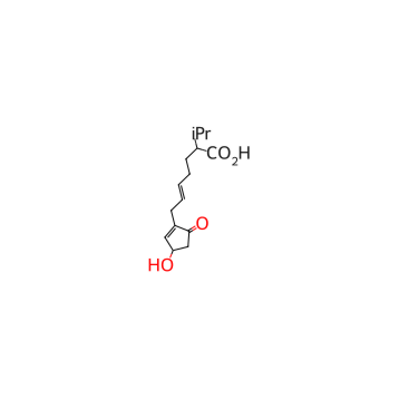 CC(C)C(CCC=CCC1=CC(O)CC1=O)C(=O)O